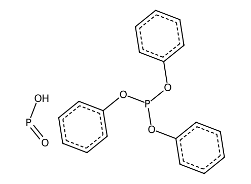 O=PO.c1ccc(OP(Oc2ccccc2)Oc2ccccc2)cc1